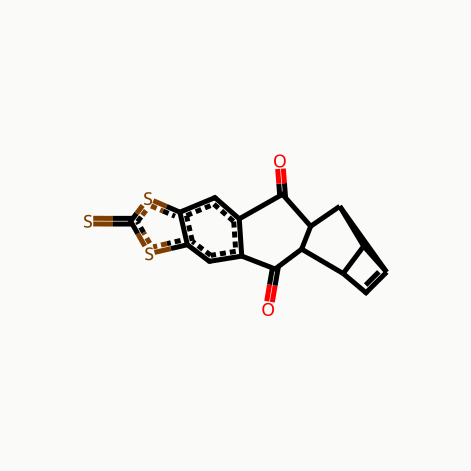 O=C1c2cc3sc(=S)sc3cc2C(=O)C2C1C1C=C3C1C32